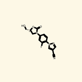 N#Cc1cnn(-c2ccc(N3C[C@H](CO)OC3=O)cc2F)c1